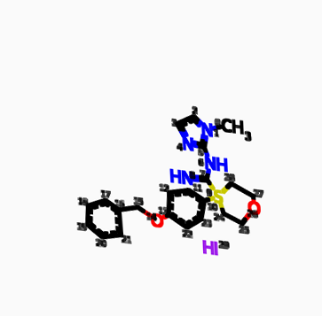 Cn1ccnc1NC(=N)S1(c2ccc(OCc3ccccc3)cc2)CCOCC1.I